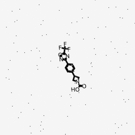 O=C(O)N1CC(c2ccc(-c3noc(C(F)(F)F)n3)cc2)C1